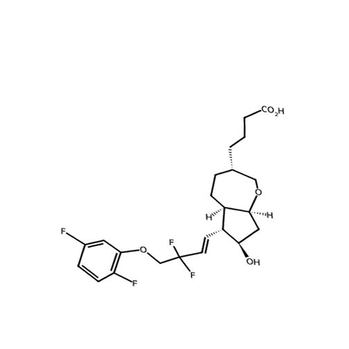 O=C(O)CCC[C@H]1CC[C@@H]2[C@@H](C=CC(F)(F)COc3cc(F)ccc3F)[C@H](O)C[C@@H]2OC1